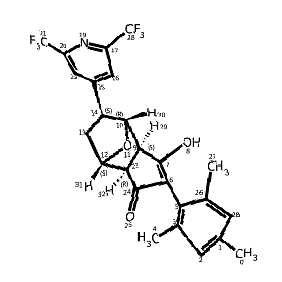 Cc1cc(C)c(C2=C(O)[C@@H]3[C@@H]4O[C@@H](C[C@H]4c4cc(C(F)(F)F)nc(C(F)(F)F)c4)[C@@H]3C2=O)c(C)c1